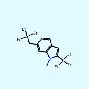 CC[Si](CC)(CC)Cc1ccc2cc([Si](CC)(CC)CC)n(C)c2c1